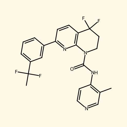 Cc1cnccc1NC(=O)N1CCC(F)(F)c2ccc(-c3cccc(C(C)(F)F)c3)nc21